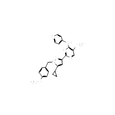 COc1ccc(Cn2nc(-c3ncc(OC)c(Nc4ccncc4)n3)cc2C2CC2)cc1